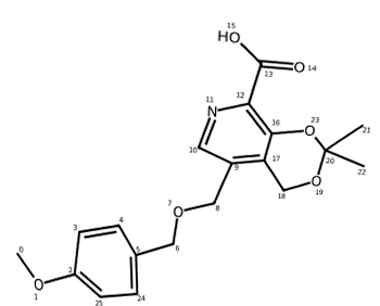 COc1ccc(COCc2cnc(C(=O)O)c3c2COC(C)(C)O3)cc1